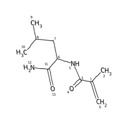 C=C(C)C(=O)NC(CC(C)C)C(N)=O